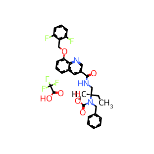 CC[C@@](C)(CNC(=O)c1cnc2c(OCc3c(F)cccc3F)cccc2c1)N(Cc1ccccc1)C(=O)O.O=C(O)C(F)(F)F